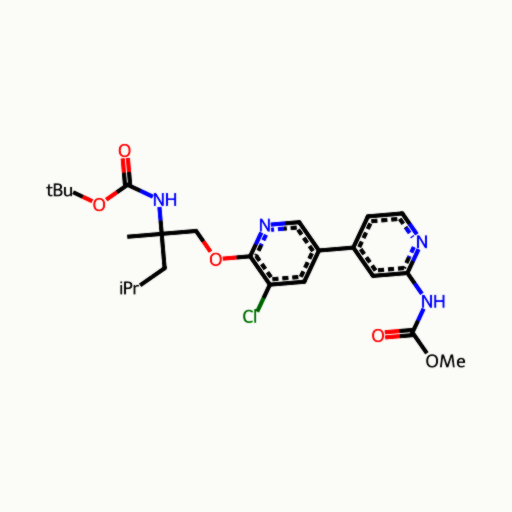 COC(=O)Nc1cc(-c2cnc(OCC(C)(CC(C)C)NC(=O)OC(C)(C)C)c(Cl)c2)ccn1